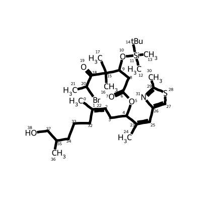 CC(=CCC(OC(=O)CC(O[Si](C)(C)C(C)(C)C)C(C)(C)C(=O)C(C)Br)C(C)=Cc1csc(C)n1)CCCC(C)CO